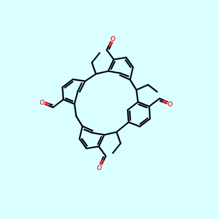 CCC1c2ccc(C=O)c(c2)C(CC)c2ccc(C=O)c(c2)C(CC)c2ccc(C=O)c(c2)Cc2ccc(C=O)c1c2